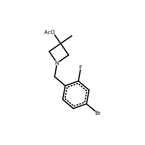 CC(=O)OC1(C)CN(Cc2ccc(Br)cc2F)C1